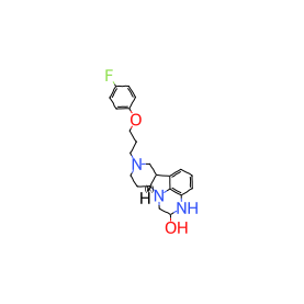 OC1CN2c3c(cccc3C3CN(CCCOc4ccc(F)cc4)CC[C@H]32)N1